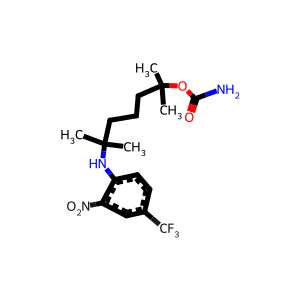 CC(C)(CCCC(C)(C)OC(N)=O)Nc1ccc(C(F)(F)F)cc1[N+](=O)[O-]